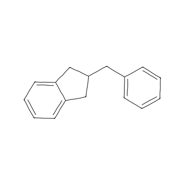 c1ccc(CC2Cc3ccccc3C2)cc1